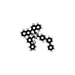 c1ccc(-c2cccc(-c3ccc(-c4nc(-c5c(-c6ccc7ccccc7c6)ccc6ccccc56)nc(-c5cccc6c5oc5ccccc56)n4)cc3)c2)cc1